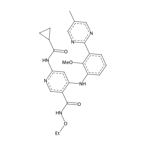 CCONC(=O)c1cnc(NC(=O)C2CC2)cc1Nc1cccc(-c2ncc(C)cn2)c1OC